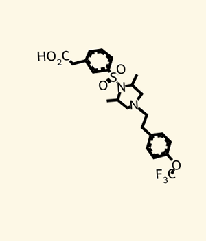 CC1CN(CCc2ccc(OC(F)(F)F)cc2)CC(C)N1S(=O)(=O)c1cccc(CC(=O)O)c1